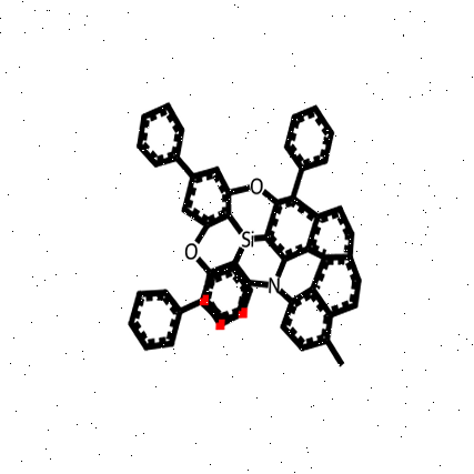 Cc1ccc2c3c1ccc1ccc4c(-c5ccccc5)c5c6c(c4c13)N2c1ccc(-c2ccccc2)c2c1[Si]6(c1ccccc1)c1c(cc(-c3ccccc3)cc1O5)O2